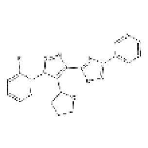 Fc1ccccc1-n1nnc(-c2nc(-c3cccnc3)no2)c1C1CCCO1